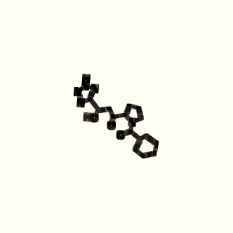 O=C(C=C(O)c1nn[nH]n1)c1cccn1C(=O)c1ccccc1